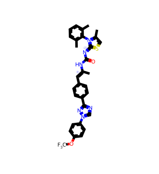 C/C(=C\c1ccc(-c2ncn(-c3ccc(OC(F)(F)F)cc3)n2)cc1)NC(=O)/N=c1\scc(C)n1-c1c(C)cccc1C